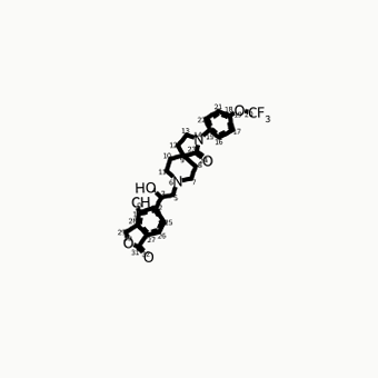 Cc1c(C(O)CN2CCC3(CC2)CCN(c2ccc(OC(F)(F)F)cc2)C3=O)ccc2c1COC2=O